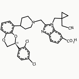 N#CCC1(Cn2c(CN3CCC(c4cccc5c4O[C@@H](c4ccc(Cl)cc4Cl)CO5)CC3)nc3ccc(C(=O)O)cc32)CC1